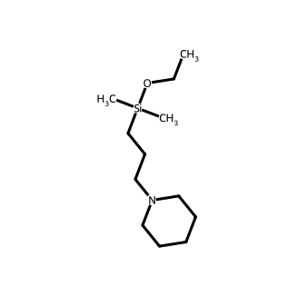 CCO[Si](C)(C)CCCN1CCCCC1